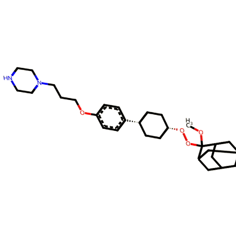 COC1(OO[C@H]2CC[C@@H](c3ccc(OCCCN4CCNCC4)cc3)CC2)C2CC3CC(C2)CC1C3